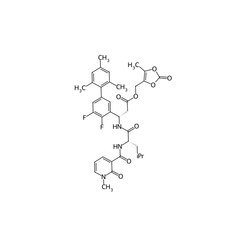 Cc1cc(C)c(-c2cc(F)c(F)c([C@H](CC(=O)OCc3oc(=O)oc3C)NC(=O)[C@H](CC(C)C)NC(=O)c3cccn(C)c3=O)c2)c(C)c1